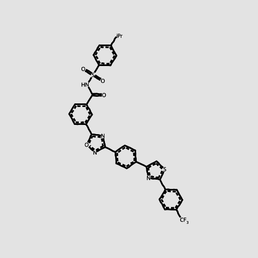 CC(C)c1ccc(S(=O)(=O)NC(=O)c2cccc(-c3nc(-c4ccc(-c5csc(-c6ccc(C(F)(F)F)cc6)n5)cc4)no3)c2)cc1